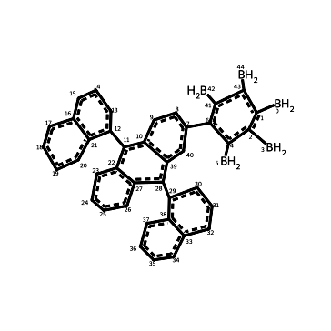 Bc1c(B)c(B)c(-c2ccc3c(-c4cccc5ccccc45)c4ccccc4c(-c4cccc5ccccc45)c3c2)c(B)c1B